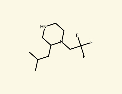 CC(C)CC1CNCCN1CC(F)(F)F